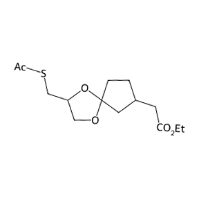 CCOC(=O)CC1CCC2(C1)OCC(CSC(C)=O)O2